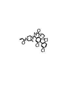 C=CC(=O)N1CCN(c2nc(=O)n3c4c(c(-c5cc(Cl)ccc5Cl)c(Cl)cc24)SCC3)[C@@H](C)C1